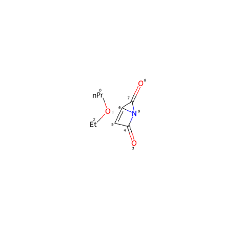 CCCOCC.O=C1C=C2C(=O)N12